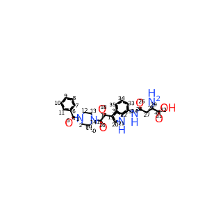 C[C@@H]1CN(C(=O)c2ccccc2)CCN1C(=O)C(=O)c1c[nH]c2c(NC(=O)CC(N)C(=O)O)cccc12